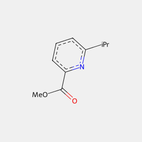 COC(=O)c1cccc(C(C)C)n1